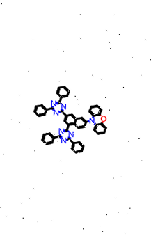 c1ccc(-c2nc(-c3ccccc3)nc(-c3cc(-c4nc(-c5ccccc5)nc(-c5ccccc5)n4)c4ccc(N5c6ccccc6Oc6ccccc65)cc4c3)n2)cc1